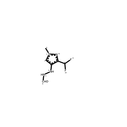 Cn1cc(NNC=O)c(C(F)F)n1